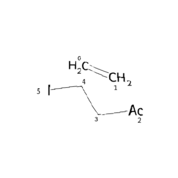 C=C.CC(=O)CCI